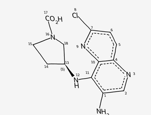 Nc1cnc2ccc(Cl)nc2c1N[C@H]1CCN(C(=O)O)C1